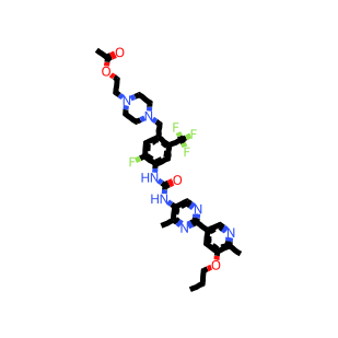 CCCOc1cc(-c2ncc(NC(=O)Nc3cc(C(F)(F)F)c(CN4CCN(CCOC(C)=O)CC4)cc3F)c(C)n2)cnc1C